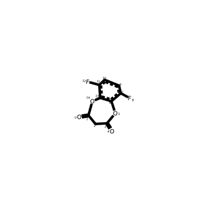 O=C1CC(=O)Oc2c(F)ccc(F)c2O1